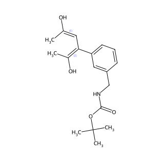 C/C(O)=C(\C=C(/C)O)c1cccc(CNC(=O)OC(C)(C)C)c1